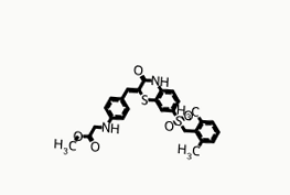 COC(=O)CNc1ccc(C=C2Sc3cc(S(=O)(=O)Cc4c(C)cccc4C)ccc3NC2=O)cc1